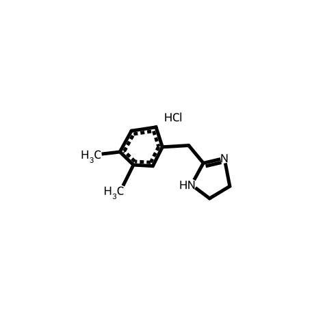 Cc1ccc(CC2=NCCN2)cc1C.Cl